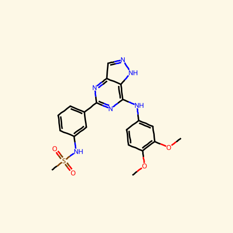 COc1ccc(Nc2nc(-c3cccc(NS(C)(=O)=O)c3)nc3cn[nH]c23)cc1OC